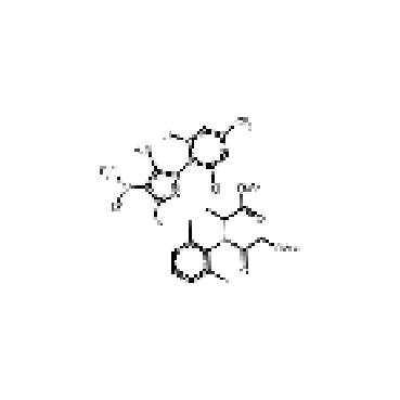 COCC(=O)N(c1c(C)cccc1C)C(C)C(=O)OC.N#Cc1nn(-c2c(Cl)cc(C(F)(F)F)cc2Cl)c(N)c1[S+]([O-])C(F)(F)F